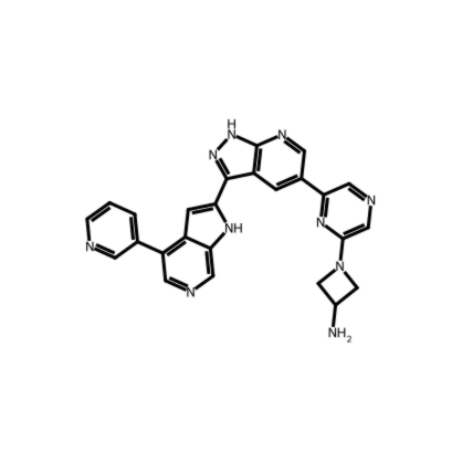 NC1CN(c2cncc(-c3cnc4[nH]nc(-c5cc6c(-c7cccnc7)cncc6[nH]5)c4c3)n2)C1